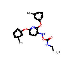 N#Cc1cccc(Oc2ccc(NOC(=O)NCC(=O)O)c(Oc3cccc(C#N)c3)n2)c1